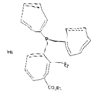 CCOC(=O)c1cccc(P(c2ccccc2)c2ccccc2)c1CC.I